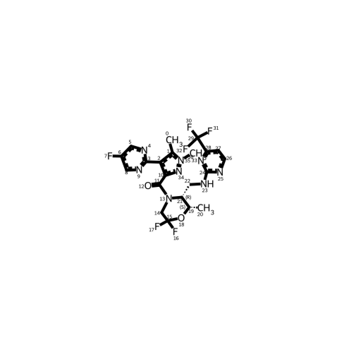 Cc1c(-c2ncc(F)cn2)c(C(=O)N2CC(F)(F)O[C@@H](C)[C@H]2CNc2nccc(C(F)(F)F)n2)nn1C